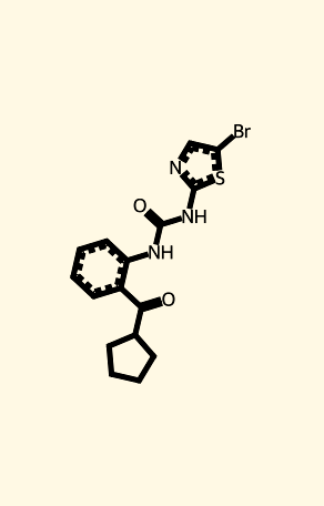 O=C(Nc1ncc(Br)s1)Nc1ccccc1C(=O)C1CCCC1